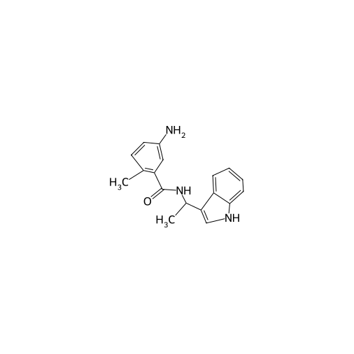 Cc1ccc(N)cc1C(=O)NC(C)c1c[nH]c2ccccc12